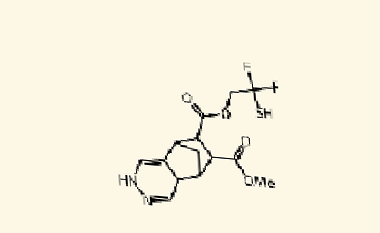 COC(=O)C1C2CC(C3=CNN=CC32)C1C(=O)OCC(F)(F)S